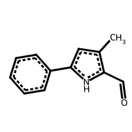 Cc1cc(-c2ccccc2)[nH]c1C=O